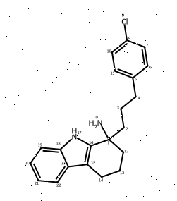 NC1(CCCc2ccc(Cl)cc2)CCCc2c1[nH]c1ccccc21